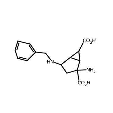 NC1(C(=O)O)CC(NCc2ccccc2)C2C(C(=O)O)C21